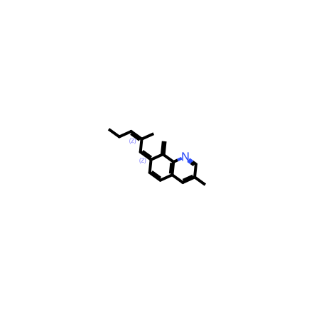 C=c1/c(=C\C(C)=C/CC)ccc2cc(C)cnc12